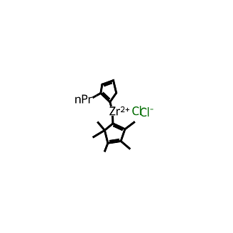 CCCC1=[C]([Zr+2][C]2=C(C)C(C)=C(C)C2(C)C)CC=C1.[Cl-].[Cl-]